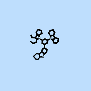 C=Cc1c(/C=C\C)n(-c2cc(-c3ccc4c(c3)C3CCCCC3O4)cc(-n3c4ccccc4c4ccccc43)c2)c2ccccc12